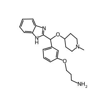 CN1CCC(OC(c2cccc(OCCCN)c2)c2nc3ccccc3[nH]2)CC1